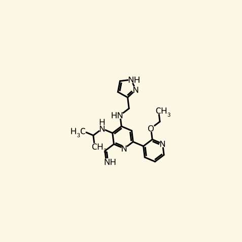 CCOc1ncccc1-c1cc(NCc2cc[nH]n2)c(NC(C)C)c(C=N)n1